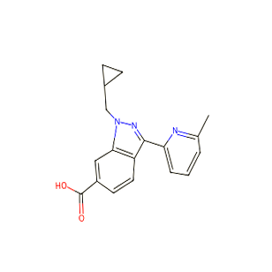 Cc1cccc(-c2nn(CC3CC3)c3cc(C(=O)O)ccc23)n1